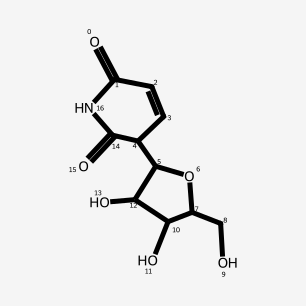 O=C1C=CC(C2OC(CO)C(O)C2O)C(=O)N1